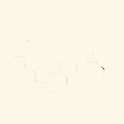 NC(=O)[C@@H]1C[C@H]1c1ccc2c(c1)OCCn1cc(-c3ncnn3CC(F)(F)F)nc1-2